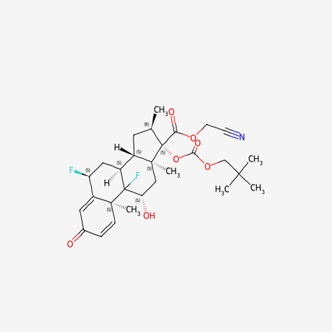 C[C@@H]1C[C@H]2[C@@H]3C[C@H](F)C4=CC(=O)C=C[C@]4(C)C3(F)[C@@H](O)C[C@]2(C)[C@]1(OC(=O)OCC(C)(C)C)C(=O)OCC#N